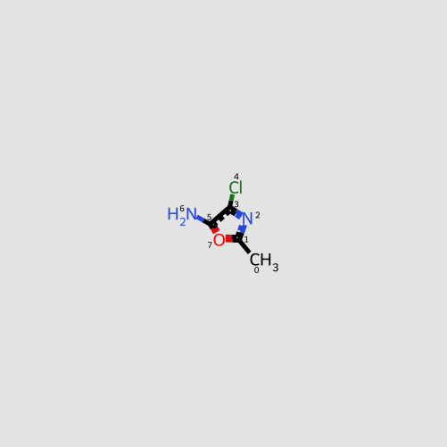 Cc1nc(Cl)c(N)o1